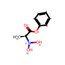 C[C@@H](C(=O)Oc1ccccc1)N(O)O